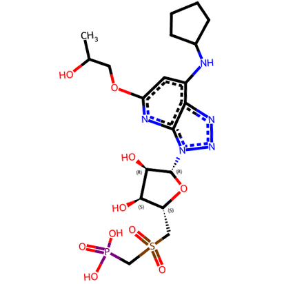 CC(O)COc1cc(NC2CCCC2)c2nnn([C@@H]3O[C@H](CS(=O)(=O)CP(=O)(O)O)[C@@H](O)[C@H]3O)c2n1